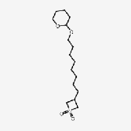 O=S1(=O)CC(CCCCCCCCOC2CCCCO2)C1